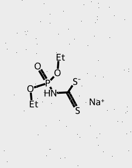 CCOP(=O)(NC(=S)[S-])OCC.[Na+]